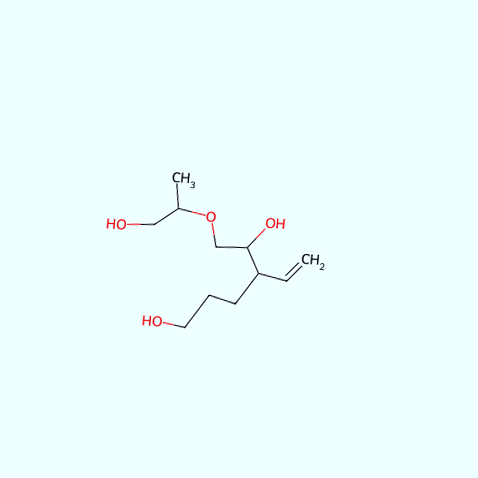 C=CC(CCCO)C(O)COC(C)CO